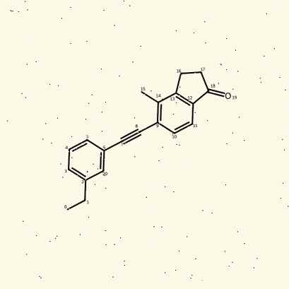 CCc1cccc(C#Cc2ccc3c(c2C)CCC3=O)c1